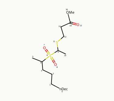 CCCCCCCCCCCCCC(C)S(=O)(=O)C(C)SCCC(=O)OC